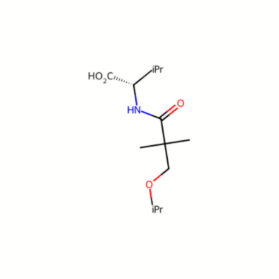 CC(C)OCC(C)(C)C(=O)N[C@H](C(=O)O)C(C)C